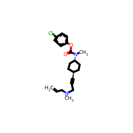 C=CCN(C)CC#C[C@H]1CC[C@H](N(C)C(=O)Oc2ccc(Cl)cc2)CC1